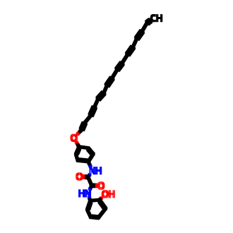 C#CC#CC#CC#CC#CC#CC#CC#COc1ccc(NC(=O)C(=O)Nc2ccccc2O)cc1